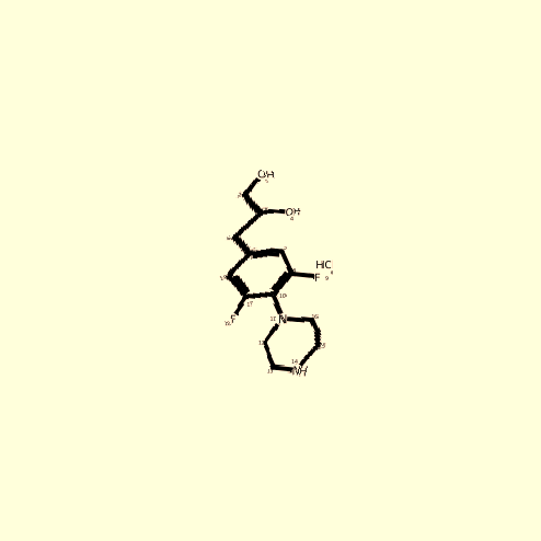 Cl.OCC(O)Cc1cc(F)c(N2CCNCC2)c(F)c1